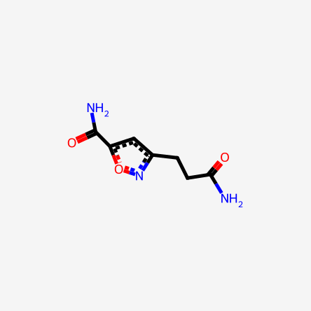 NC(=O)CCc1cc(C(N)=O)on1